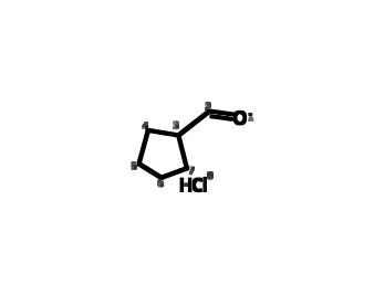 Cl.O=CC1CCCC1